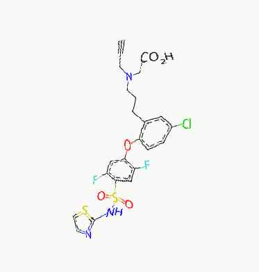 C#CCN(CCCc1cc(Cl)ccc1Oc1cc(F)c(S(=O)(=O)Nc2nccs2)cc1F)CC(=O)O